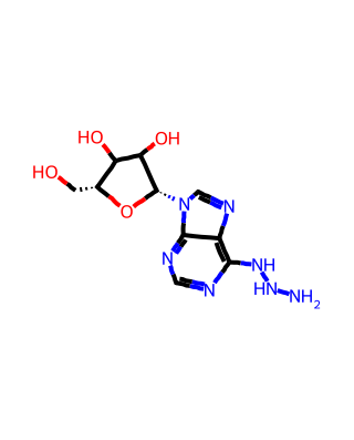 NNNc1ncnc2c1ncn2[C@@H]1O[C@H](CO)C(O)C1O